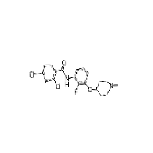 CN1CCC(Oc2cccc(NC(=O)c3ccc(Cl)cc3Cl)c2F)CC1